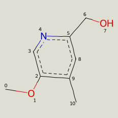 COc1cnc(CO)cc1C